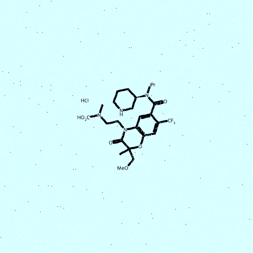 COCC1(C)Oc2cc(C(F)(F)F)c(C(=O)N(C(C)C)[C@@H]3CCCNC3)cc2N(CCN(C)C(=O)O)C1=O.Cl